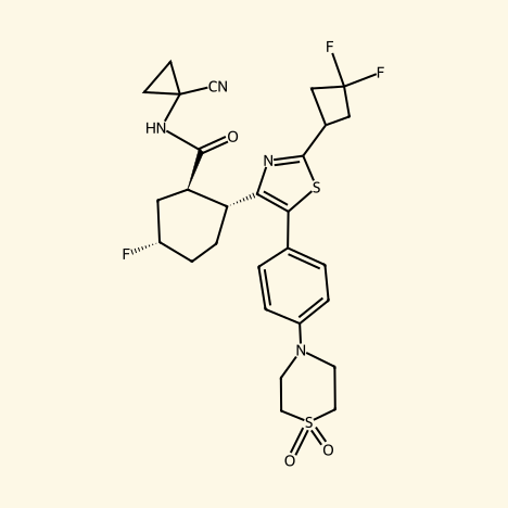 N#CC1(NC(=O)[C@@H]2C[C@@H](F)CC[C@H]2c2nc(C3CC(F)(F)C3)sc2-c2ccc(N3CCS(=O)(=O)CC3)cc2)CC1